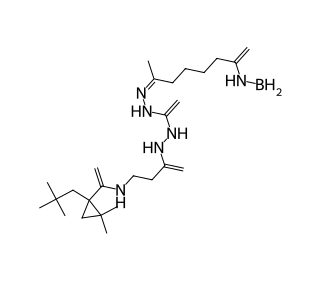 BNC(=C)CCCC/C(C)=N\NC(=C)NNC(=C)CCNC(=C)C1(CC(C)(C)C)CC1(C)C